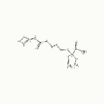 C=CC(CC)(CCCCCC(=O)OC1=CCC1)C(=O)O